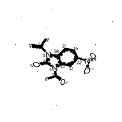 C=C(C)n1c(=O)n(C(C)=O)c2cc([N+](=O)[O-])ccc21